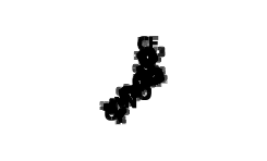 Cc1cn(-c2ccc(N3CC(C)O[C@H](C)C3)nc2)c(=O)c2cccc(-c3ccc(C(F)(F)F)cc3)c12